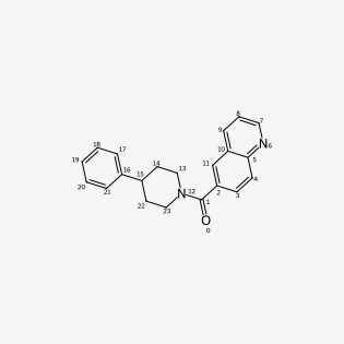 O=C(c1ccc2ncccc2c1)N1CCC(c2ccccc2)CC1